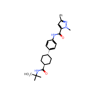 CC(C)c1cc(C(=O)Nc2ccc([C@H]3CC[C@H](C(=O)NC(C)(C)C(=O)O)CC3)cc2)n(C)n1